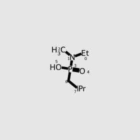 CCN(C)P(=O)(O)CC(C)C